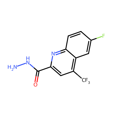 NNC(=O)c1cc(C(F)(F)F)c2cc(F)ccc2n1